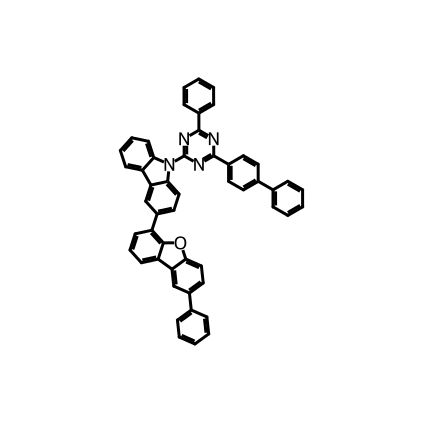 c1ccc(-c2ccc(-c3nc(-c4ccccc4)nc(-n4c5ccccc5c5cc(-c6cccc7c6oc6ccc(-c8ccccc8)cc67)ccc54)n3)cc2)cc1